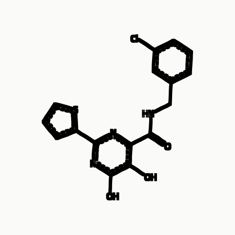 O=C(NCc1cccc(Cl)c1)c1nc(-c2cccs2)nc(O)c1O